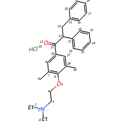 CCN(CC)CCOc1c(C)cc(C(=O)C(Cc2ccccc2)c2ccccc2)cc1C.Cl